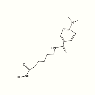 CN(C)c1ccc(C(=S)NCCCCCC(=O)NO)cc1